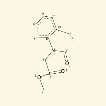 COC(=O)CN(C=O)c1ccccc1Cl